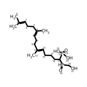 CC(C)=CCCC(C)=CCCC(C)=CCCCC([PH](=O)CO)P(=O)(O)O